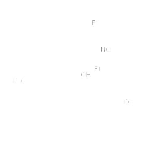 CC/C=C(/O)C/C=C\C/C=C\C(C)C=CC(O)CC(CC)N=O